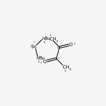 CC(=O)C(C)=O.CCC[CH2][Sn][CH2]CCC